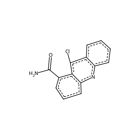 NC(=O)c1cccc2nc3ccccc3c(Cl)c12